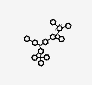 c1ccc(-c2ccc(N(c3ccc(-c4ccc5c(c4)c4ccccc4n5-c4cc(-c5ccccc5)nc(-c5ccccc5)n4)cc3)c3ccc4c(c3)-c3ccccc3C4(c3ccccc3)c3ccccc3)cc2)cc1